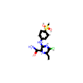 CCc1nc(C(N)=O)c(Nc2ccc(S(C)(=O)=O)cc2)nc1Cl